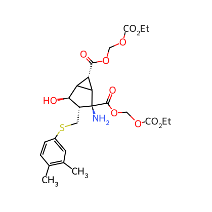 CCOC(=O)OCOC(=O)[C@H]1C2C1[C@](N)(C(=O)OCOC(=O)OCC)[C@H](CSc1ccc(C)c(C)c1)[C@H]2O